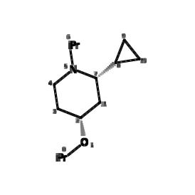 CC(C)O[C@@H]1CCN(C(C)C)[C@H](C2CC2)C1